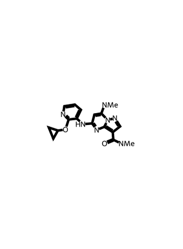 CNC(=O)c1cnn2c(NC)cc(Nc3cccnc3OC3CC3)nc12